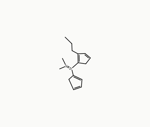 CCCC1=[C]([Zr]([C]2=CC=CC2)=[Si](C)C)CC=C1